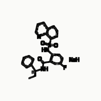 CC[C@H](NC(=O)c1cc(F)ccc1NS(=O)(=O)c1cccc2cccnc12)c1ccccc1.[NaH]